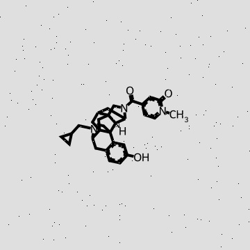 Cn1ccc(C(=O)N2CC34CC56CC3CC2[C@H]4C52CCN(CC3CC3)C6Cc3ccc(O)cc32)cc1=O